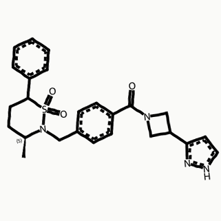 C[C@H]1CCC(c2ccccc2)S(=O)(=O)N1Cc1ccc(C(=O)N2CC(c3cc[nH]n3)C2)cc1